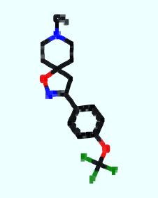 CN1CCC2(CC1)CC(c1ccc(OC(F)(F)F)cc1)=NO2